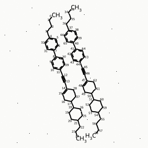 CCCCc1ccc(-c2ccc(C#CC3=CCC(C4CCC(CCC)CC4)CC3)cc2)cc1.CCCCc1ccc(-c2ccc(C#CC3=CCC(C4CCC(CCCC)CC4)CC3)cc2)cc1